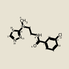 CN(CCNC(=O)c1cccc(Cl)c1)c1nncs1